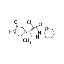 C[C@@H]1CNC(=O)CN1c1cnn(C2CCCCO2)c(=O)c1Cl